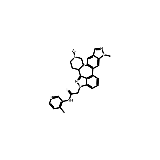 CC(=O)N1CCC(c2nn(CC(=O)Nc3cnccc3C)c3cccc(-c4cc5c(cnn5C)cc4F)c23)CC1